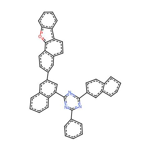 c1ccc(-c2nc(-c3ccc4ccccc4c3)nc(-c3cc(-c4ccc5c(ccc6c7ccccc7oc56)c4)cc4ccccc34)n2)cc1